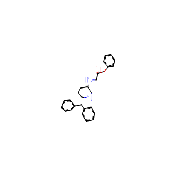 O[C@@H](CN[C@H]1CC[C@@H](C(c2ccccc2)c2ccccc2)NC1)Cc1ccccc1